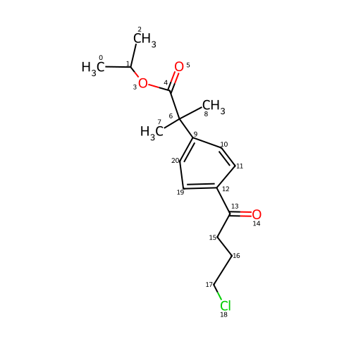 CC(C)OC(=O)C(C)(C)c1ccc(C(=O)CCCCl)cc1